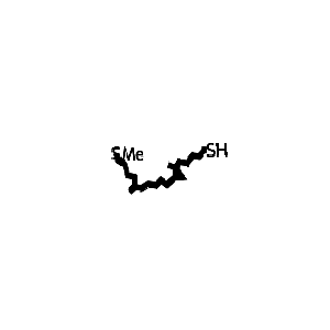 C=C(CCCCCC1=CC1(C)CCCCCS)CCCCSC